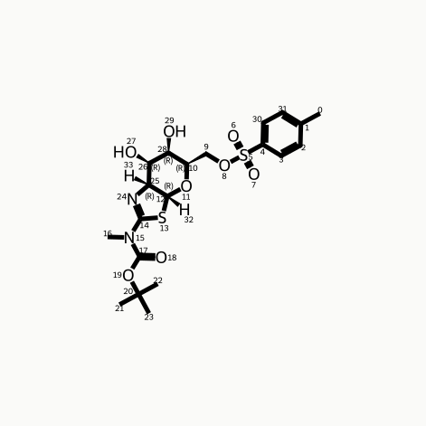 Cc1ccc(S(=O)(=O)OC[C@H]2O[C@@H]3SC(N(C)C(=O)OC(C)(C)C)=N[C@@H]3[C@@H](O)[C@H]2O)cc1